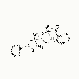 CCC(OC(C)(C)C(=O)c1ccccc1)C(C)(C)OC(=O)c1ccccc1